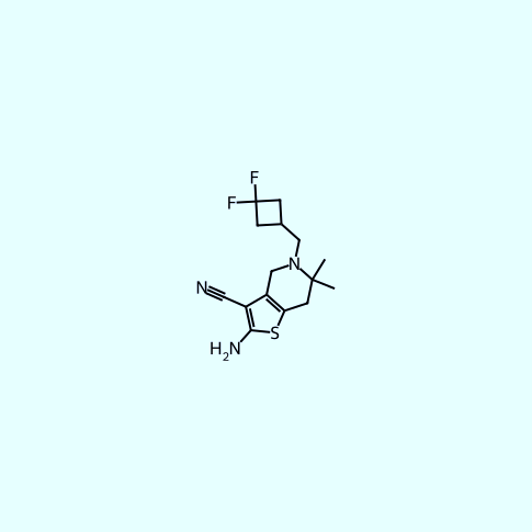 CC1(C)Cc2sc(N)c(C#N)c2CN1CC1CC(F)(F)C1